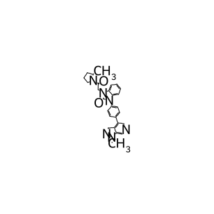 CC1CCCN1C(=O)Cn1c(=O)n(-c2ccc(-c3cncc4c3cnn4C)cc2)c2ccccc21